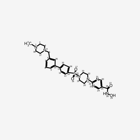 CN1CCN(Cc2cccc(-c3ccc(S(=O)(=O)N4CCN(c5ncc(C(=O)NO)cn5)CC4)cc3)c2)CC1